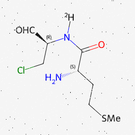 [2H]N(C(=O)[C@@H](N)CCSC)[C@H]([C]=O)CCl